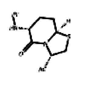 CC(=O)[C@H]1CS[C@@H]2CC[C@@H](NC(C)C)C(=O)N12